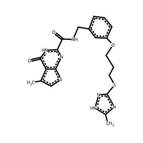 Cc1nc(SCCCOc2cccc(CNC(=O)c3nc4scc(C)c4c(=O)[nH]3)c2)n[nH]1